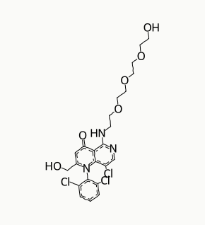 O=c1cc(CO)n(-c2c(Cl)cccc2Cl)c2c(Cl)cnc(NCCOCCOCCOCCO)c12